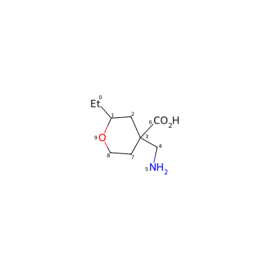 CCC1CC(CN)(C(=O)O)CCO1